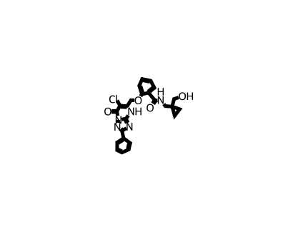 O=C(NCC1(CO)CC1)c1ccccc1OCc1[nH]c2nc(-c3ccccc3)nn2c(=O)c1Cl